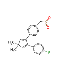 CC1(C)C=C(c2ccc(F)cc2)C(c2ccc(C[SH](=O)=O)cc2)=C1